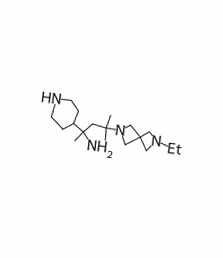 CCN1CC2(C1)CN(C(C)(C)CC(C)(N)C1CCNCC1)C2